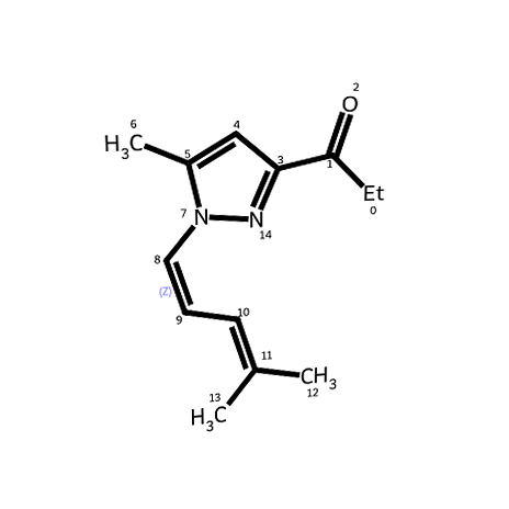 CCC(=O)c1cc(C)n(/C=C\C=C(C)C)n1